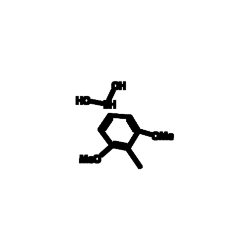 COc1cccc(OC)c1C.OBO